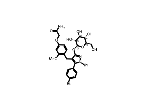 CCc1ccc(-c2c(Cc3ccc(OCC(N)=O)cc3OC)c(O[C@@H]3O[C@H](CO)[C@@H](O)[C@H](O)[C@H]3O)nn2C(C)C)cc1